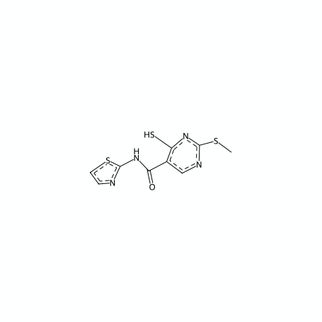 CSc1ncc(C(=O)Nc2nccs2)c(S)n1